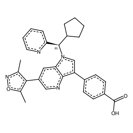 Cc1noc(C)c1-c1cnc2c(-c3ccc(C(=O)O)cc3)cn([C@@H](c3ccccn3)C3CCCC3)c2c1